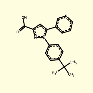 CC(C)(C)c1ccc(-n2nc(C(=O)O)cc2-c2cccnc2)cc1